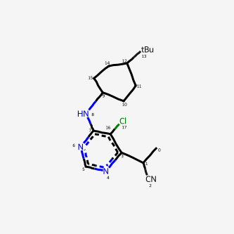 CC(C#N)c1ncnc(NC2CCC(C(C)(C)C)CC2)c1Cl